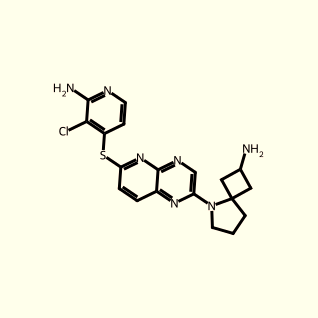 Nc1nccc(Sc2ccc3nc(N4CCCC45CC(N)C5)cnc3n2)c1Cl